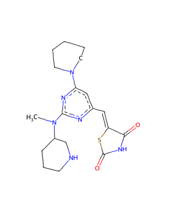 CN(c1nc(/C=C2\SC(=O)NC2=O)cc(N2CCCCC2)n1)C1CCCNC1